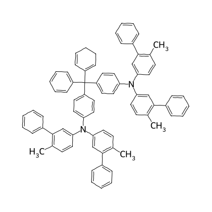 Cc1ccc(N(c2ccc(C(C3=CCCC=C3)(c3ccccc3)c3ccc(N(c4ccc(C)c(-c5ccccc5)c4)c4ccc(C)c(-c5ccccc5)c4)cc3)cc2)c2ccc(C)c(-c3ccccc3)c2)cc1-c1ccccc1